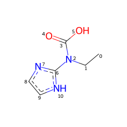 CCN(C(=O)O)c1ncc[nH]1